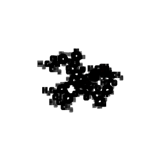 C=C(C)C(=O)Nc1cccc(NC(=O)C(Cc2ccncc2)n2c(=O)c3cc(Oc4ccc(C(C)C)cc4)c4c5c(Oc6ccc(C(C)(C)C)cc6)cc6c(=O)n(C(Cc7ccncc7)C(=O)Nc7cccc(NC(=O)C(=C)C)c7)c(=O)c7cc8oc9ccc(C(C)C)cc9c9cc(C(C)C)ccc9oc9cc(c2=O)c3c4c9c8c5c67)c1